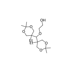 CCC1(C(OCCO)C2(CC)COC(C)(C)OC2)COC(C)(C)OC1